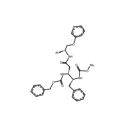 CC(C)[C@@H](COc1cccnc1)NC(=O)C[C@H](NC(=O)OCc1ccccc1)[C@H](Cc1ccccc1)NC(=O)OC(C)(C)C